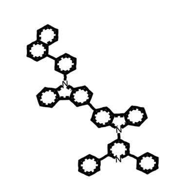 c1ccc(-c2cc(-n3c4ccccc4c4cc(-c5ccc6c(c5)c5ccccc5n6-c5cccc(-c6cccc7ccccc67)c5)ccc43)cc(-c3ccccc3)n2)cc1